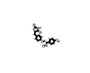 COc1ccc([C@@H](COC2C=CC(CC3SC(=O)NC3=O)=CC2)N=O)cc1